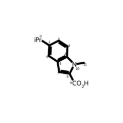 CC(C)c1ccc2c(c1)cc(C(=O)O)n2C